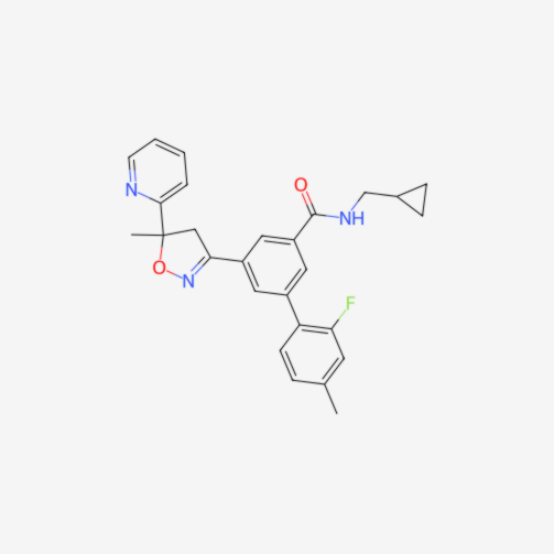 Cc1ccc(-c2cc(C(=O)NCC3CC3)cc(C3=NOC(C)(c4ccccn4)C3)c2)c(F)c1